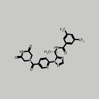 C[C@H](NC(=O)c1cc(C(F)(F)F)cc(C(F)(F)F)c1)c1ncnn1-c1ccc(C(=O)N2CC(=O)NC(=O)C2)cn1